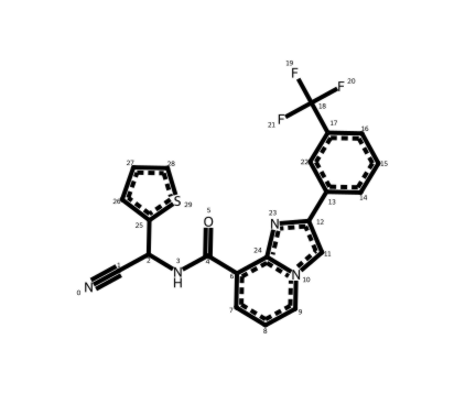 N#CC(NC(=O)c1cccn2cc(-c3cccc(C(F)(F)F)c3)nc12)c1cccs1